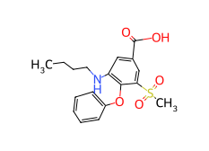 CCCCNc1cc(C(=O)O)cc(S(C)(=O)=O)c1Oc1ccccc1